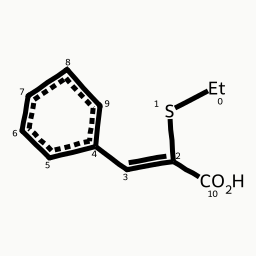 CCS/C(=C\c1ccccc1)C(=O)O